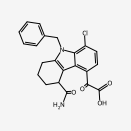 NC(=O)C1CCCc2c1c1c(C(=O)C(=O)O)ccc(Cl)c1n2Cc1ccccc1